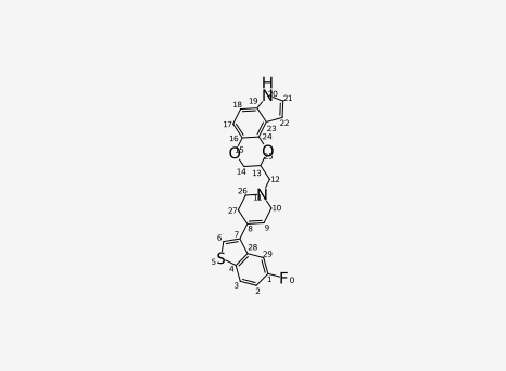 Fc1ccc2scc(C3=CCN(CC4COc5ccc6[nH]ccc6c5O4)CC3)c2c1